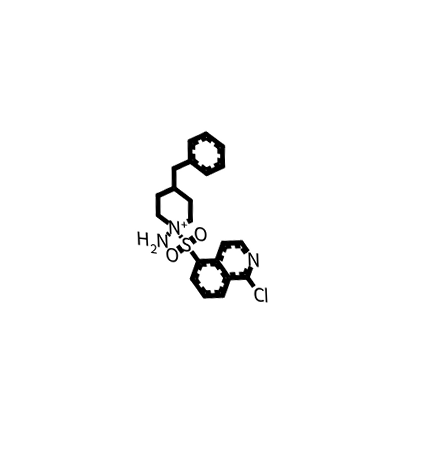 N[N+]1(S(=O)(=O)c2cccc3c(Cl)nccc23)CCC(Cc2ccccc2)CC1